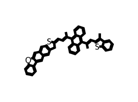 C/C(=C\C=C1/Cc2cc3cc4c(cc3cc2S1)oc1ccccc14)c1c2ccccc2c(/C(C)=C/c2sc3ccccc3c2C)c2ccccc12